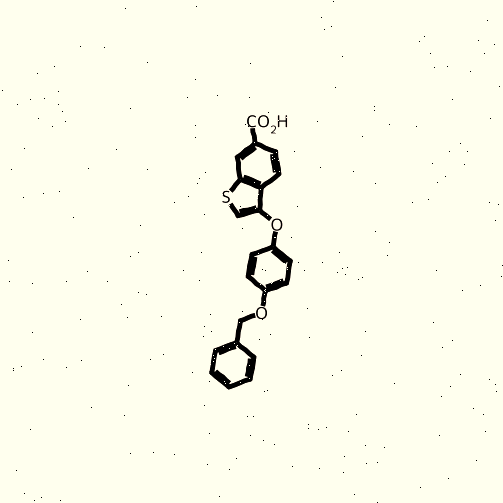 O=C(O)c1ccc2c(Oc3ccc(OCc4ccccc4)cc3)csc2c1